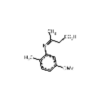 COc1ccc(C)c(N=C(C)CC(=O)O)c1